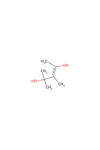 CC(O)=C(C)C(C)(C)O